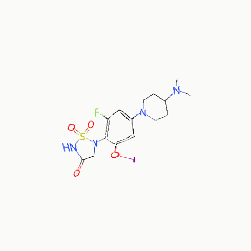 CN(C)C1CCN(c2cc(F)c(N3CC(=O)NS3(=O)=O)c(OI)c2)CC1